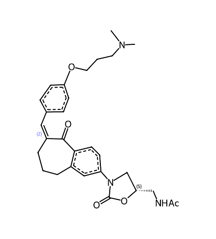 CC(=O)NC[C@H]1CN(c2ccc3c(c2)CCC/C(=C/c2ccc(OCCCN(C)C)cc2)C3=O)C(=O)O1